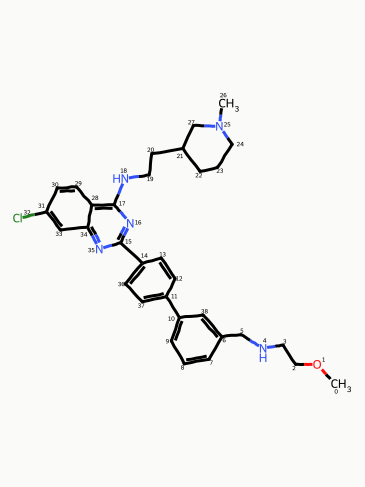 COCCNCc1cccc(-c2ccc(-c3nc(NCCC4CCCN(C)C4)c4ccc(Cl)cc4n3)cc2)c1